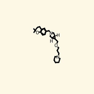 CC1(C)CCc2cc(CN3C[C@@H]4C(COCCCN5CCCCC5)[C@@H]4C3)ccc2O1